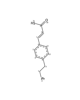 CC(C)CCc1ccc(/C=C/C(=O)S)cc1